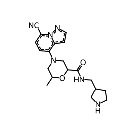 CC1CN(c2ccc(C#N)n3nccc23)CC(C(=O)NCC2CCNC2)O1